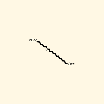 CCCCCCCCCCCCCCCCCCCCCCOCCCCCCCCCCCCCCCC